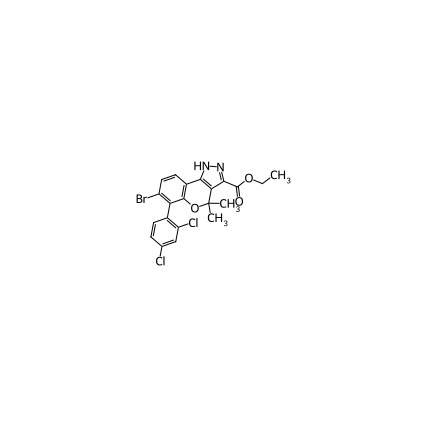 CCOC(=O)c1n[nH]c2c1C(C)(C)Oc1c-2ccc(Br)c1-c1ccc(Cl)cc1Cl